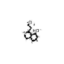 C=CCc1nccc2ccccc12.Cl